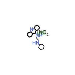 Cl.Cl.O=[N+]([O-])c1cccc2nc3ccccc3c(NCCNC3CCCCC3)c12